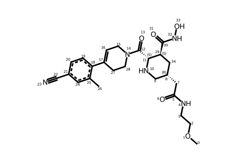 COCCNC(=O)C[C@@H]1CN[C@H](C(=O)N2CC=C(c3ccc(C#N)cc3C)CC2)[C@@H](C(=O)NO)C1